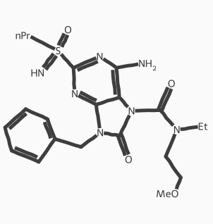 CCCS(=N)(=O)c1nc(N)c2c(n1)n(Cc1ccccc1)c(=O)n2C(=O)N(CC)CCOC